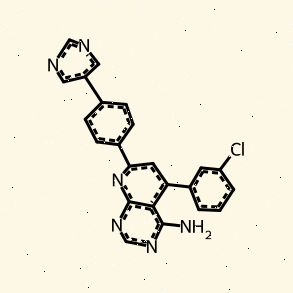 Nc1ncnc2nc(-c3ccc(-c4cncnc4)cc3)cc(-c3cccc(Cl)c3)c12